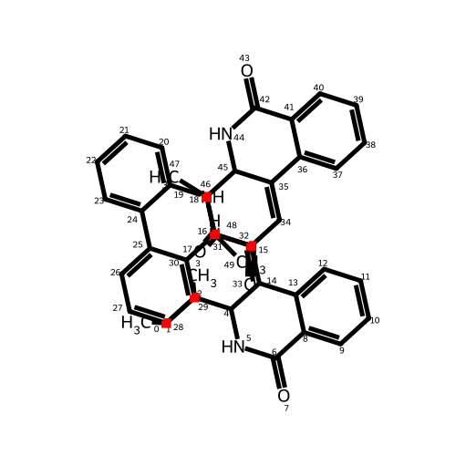 CCC(C)C1NC(=O)c2ccccc2/C1=C/C(=O)Nc1ccccc1-c1ccccc1NC(=O)/C=C1/c2ccccc2C(=O)NC1C(C)CC